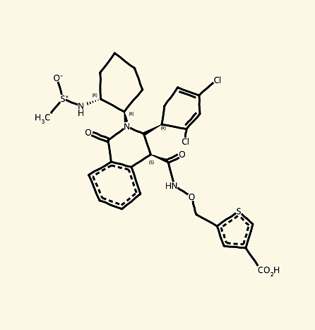 C[S+]([O-])N[C@@H]1CCCC[C@H]1N1C(=O)c2ccccc2[C@H](C(=O)NOCc2cc(C(=O)O)cs2)C1[C@H]1CC=C(Cl)C=C1Cl